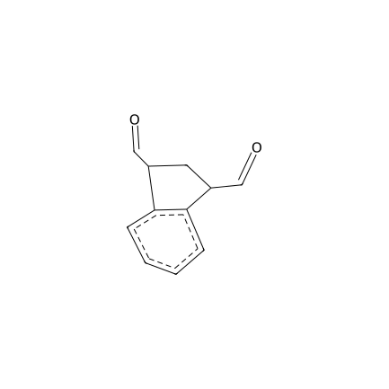 O=CC1CC(C=O)c2ccccc21